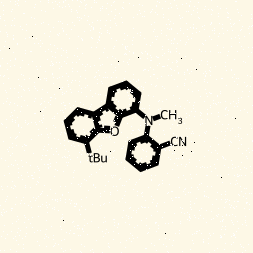 CN(c1ccccc1C#N)c1cccc2c1oc1c(C(C)(C)C)cccc12